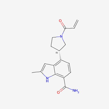 C=CC(=O)N1CC[C@@H](c2ccc(C(N)=O)c3[nH]c(C)cc23)C1